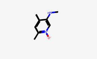 CNc1c[n+]([O-])c(C)cc1C